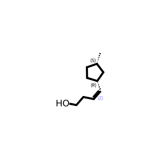 C[C@H]1CC[C@@H](/C=C\CCO)C1